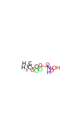 CCC(C)C(=O)c1ccc(OCCCC(=O)NCC(=O)O)c(Cl)c1Cl